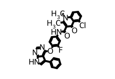 Cc1c(C(=O)Nc2ccc(Oc3ncnc4[nH]cc(-c5ccccc5)c34)c(F)c2)c(=O)c2c(Cl)cccc2n1C